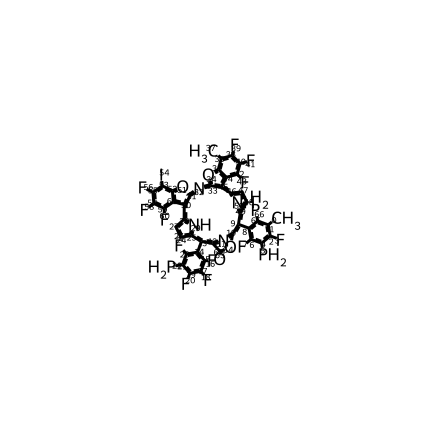 Cc1c(F)c(P)c(F)c(-c2c3nc(c(-c4c(F)c(F)c(F)c(P)c4F)c4ccc([nH]4)c4c(nc5oc6c(C)c(F)c(F)c(F)c6c5c5ccc2[nH]5)oc2c(I)c(F)c(F)c(F)c24)C(=O)O3)c1P